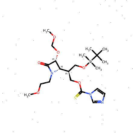 COCCN1C(=O)[C@H](OCOC)[C@@H]1[C@H](COC(=S)n1ccnc1)CO[Si](C)(C)C(C)(C)C